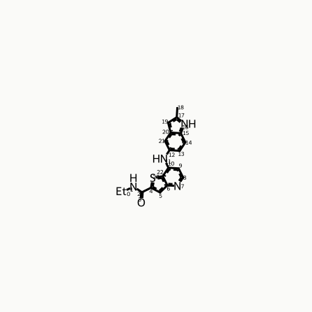 CCNC(=O)c1cc2nccc(Nc3ccc4[nH]c(C)cc4c3)c2s1